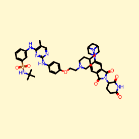 Cc1cnc(Nc2ccc(OCCN3CCC(CN4C5CC4CN(c4ccc6c(c4)C(=O)N(C4CCC(=O)NC4=O)C6=O)C5)CC3)cc2)nc1Nc1cccc(S(=O)(=O)NC(C)(C)C)c1